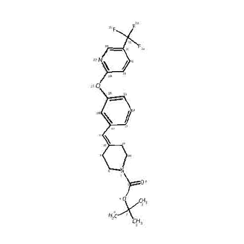 CC(C)(C)OC(=O)N1CCC(=Cc2cccc(Oc3ccc(C(F)(F)F)cn3)c2)CC1